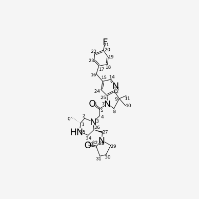 C[C@@H]1CN(CC(=O)N2CC(C)(C)c3ncc(Cc4ccc(F)cc4)cc32)[C@@H](CN2CCCC2=O)CN1